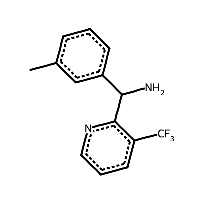 Cc1cccc(C(N)c2ncccc2C(F)(F)F)c1